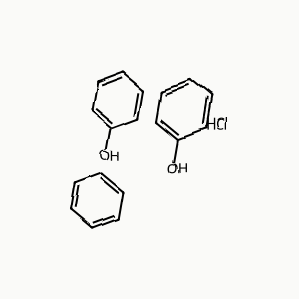 Cl.Oc1ccccc1.Oc1ccccc1.c1ccccc1